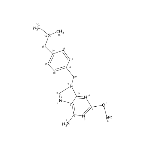 CCCOc1nc(N)c2ncn(Cc3ccc(CN(C)C)cc3)c2n1